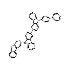 C1=C(n2c3ccccc3c3cc(-c4ccc5c(c4)c4ccccc4n5-c4ccc(-c5ccccc5)cc4)ccc32)CCc2sc3ccccc3c21